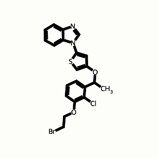 CC(Oc1csc(-n2cnc3ccccc32)c1)c1cccc(OCCBr)c1Cl